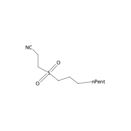 CCCCCCCCS(=O)(=O)CCC#N